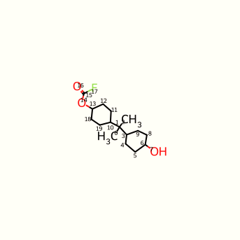 CC(C)(C1CCC(O)CC1)C1CCC(OC(=O)F)CC1